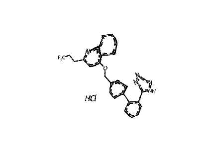 Cl.FC(F)(F)CCc1cc(OCc2ccc(-c3ccccc3-c3nnn[nH]3)cc2)c2ccccc2n1